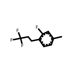 Cc1ccc(CCC(F)(F)F)c(F)c1